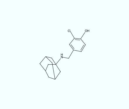 Oc1ccc(CNC23CC4CC(CC(C4)C2)C3)cc1Cl